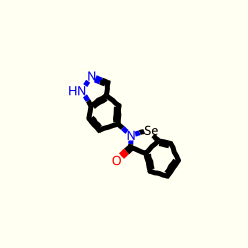 O=c1c2ccccc2[se]n1-c1ccc2[nH]ncc2c1